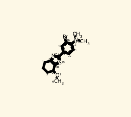 COC1CCCc2nc(-c3ccc(N(C)C)c(Br)c3)sc21